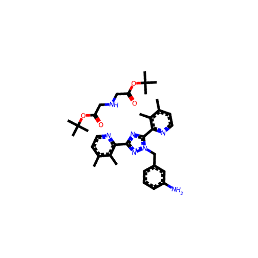 CC(C)(C)OC(=O)CNCC(=O)OC(C)(C)C.Cc1ccnc(-c2nc(-c3nccc(C)c3C)n(Cc3cccc(N)c3)n2)c1C